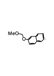 COCOc1ccc2c[c]ccc2c1